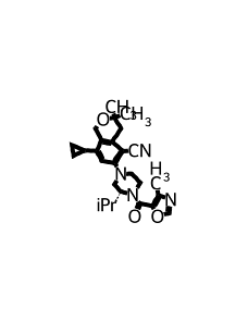 Cc1ncoc1C(=O)N1CCN(c2cc(C3CC3)c3c(c2C#N)CC(C)(C)OC3)C[C@H]1C(C)C